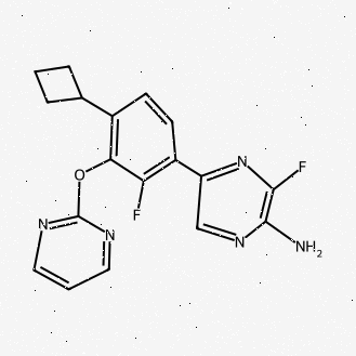 Nc1ncc(-c2ccc(C3CCC3)c(Oc3ncccn3)c2F)nc1F